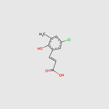 Cc1cc(Cl)cc(/C=C/C(=O)O)c1O